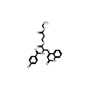 CCOC(=O)CCSC(=O)C(Cc1cc(=O)[nH]c2ccccc12)NC(=O)c1ccc(Cl)cc1